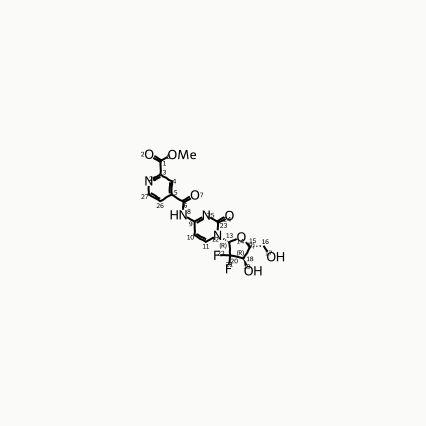 COC(=O)c1cc(C(=O)Nc2ccn([C@@H]3O[C@H](CO)[C@@H](O)C3(F)F)c(=O)n2)ccn1